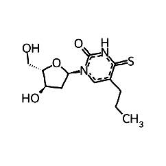 CCCc1cn([C@H]2C[C@@H](O)[C@H](CO)O2)c(=O)[nH]c1=S